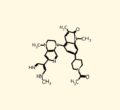 CN/C=C(\C=N)c1cc2c(cn1)N(c1cc(C3CCN(C(C)=O)CC3)cc3c1cc(C)c(=O)n3C)CCN2C